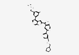 CS(=O)(=O)NCc1cc(F)cc(-c2cncc3[nH]c(-c4n[nH]c5cnc(-c6cncc(CNCC7CCCC7)c6)cc45)cc23)c1